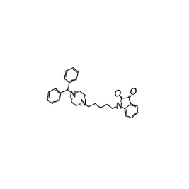 O=C1C(=O)N(CCCCCN2CCN(C(c3ccccc3)c3ccccc3)CC2)c2ccccc21